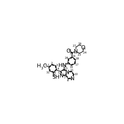 Cc1ccc(-c2nc3cnccn3c2Nc2cccc(C(=O)N3CCOCC3)c2)c(S)c1